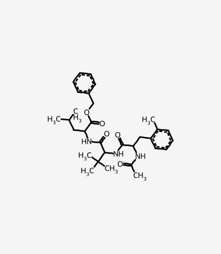 CC(=O)NC(Cc1ccccc1C)C(=O)NC(C(=O)NC(CC(C)C)C(=O)OCc1ccccc1)C(C)(C)C